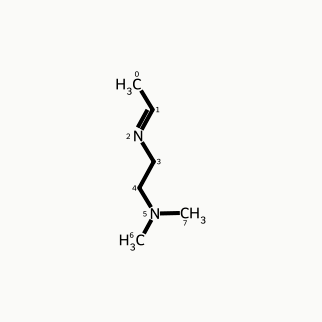 CC=NCCN(C)C